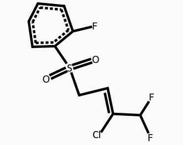 O=S(=O)(CC=C(Cl)C(F)F)c1ccccc1F